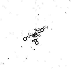 C[C@@H](NC(=O)OCc1ccccc1)C(=O)N[C@@H](Cc1c[nH]c2ccccc12)C(=O)NC(Cc1ccc(O)cc1)C(=O)[C@@]1(C)CO1